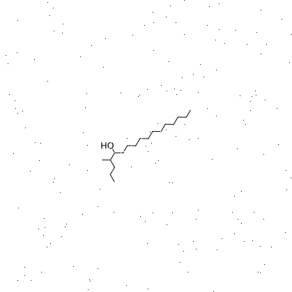 CCCCCCCCCCCCC(O)C(C)CCC